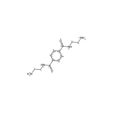 NCCNC(=O)c1ccc(C(=O)NCCN)cc1